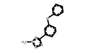 Cn1nnc(-c2cccc(Oc3ccccc3)c2)n1